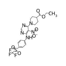 CCOC(=O)C1CCN(c2ncnc(Nc3ccc(S(=O)(=O)C(F)(F)F)cc3)c2[N+](=O)[O-])CC1